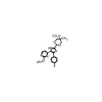 CCCOc1nccc(-c2[nH]c(C3OCC(C)(C(=O)O)CO3)nc2-c2ccc(F)cc2)n1